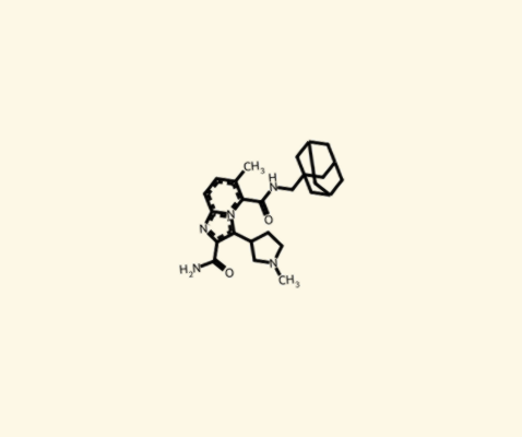 Cc1ccc2nc(C(N)=O)c(C3CCN(C)C3)n2c1C(=O)NCC12CC3CC(CC(C3)C1)C2